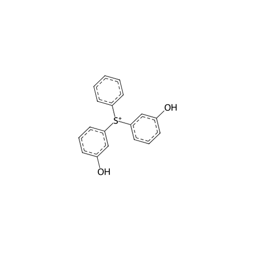 Oc1cccc([S+](c2ccccc2)c2cccc(O)c2)c1